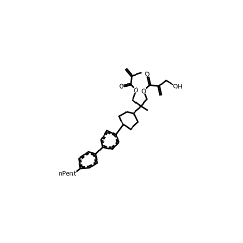 C=C(C)C(=O)OCC(C)(COC(=O)C(=C)CO)C1CCC(c2ccc(-c3ccc(CCCCC)cc3)cc2)CC1